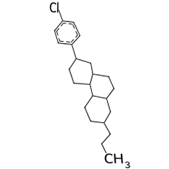 CCCC1CCC2C(CCC3CC(c4ccc(Cl)cc4)CCC32)C1